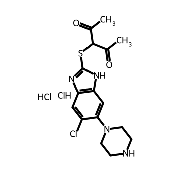 CC(=O)C(Sc1nc2cc(Cl)c(N3CCNCC3)cc2[nH]1)C(C)=O.Cl.Cl